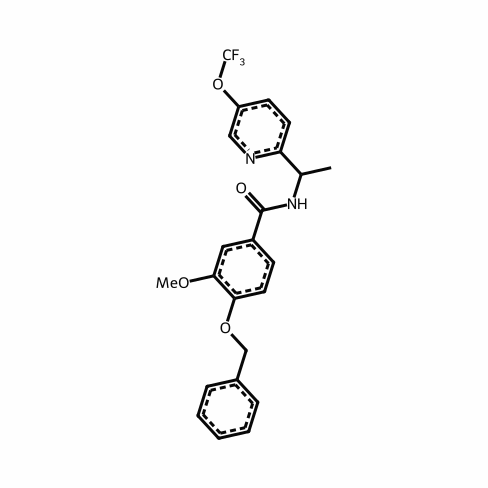 COc1cc(C(=O)NC(C)c2ccc(OC(F)(F)F)cn2)ccc1OCc1ccccc1